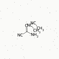 CC#N.CC#N.N#CC(N)=O